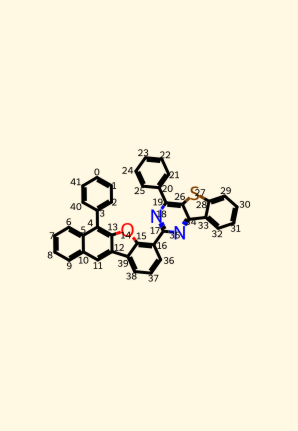 c1ccc(-c2c3ccccc3cc3c2oc2c(-c4nc(-c5ccccc5)c5sc6ccccc6c5n4)cccc23)cc1